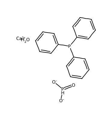 O.O=[PH]([O-])[O-].[Ca+2].c1ccc(P(c2ccccc2)c2ccccc2)cc1